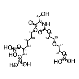 O=C(NC(CO)C(=O)OCCCCC(CON(O)O)ON(O)O)OCCOCCON(O)O